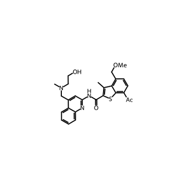 COCc1ccc(C(C)=O)c2sc(C(=O)Nc3cc(CN(C)CCO)c4ccccc4n3)c(C)c12